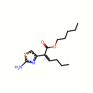 CCC/C=C(\C(=O)OCCCCC)c1csc(N)n1